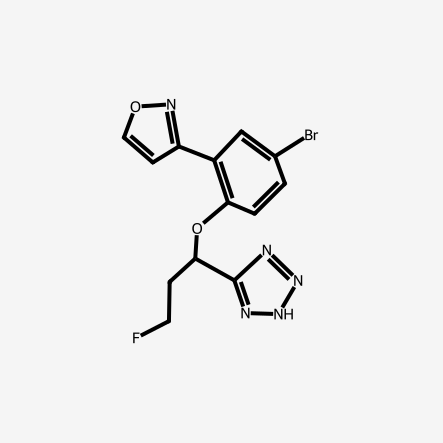 FCCC(Oc1ccc(Br)cc1-c1ccon1)c1nn[nH]n1